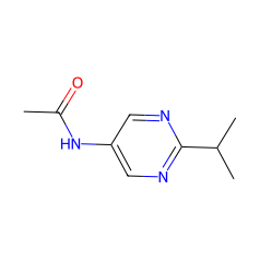 CC(=O)Nc1cnc(C(C)C)nc1